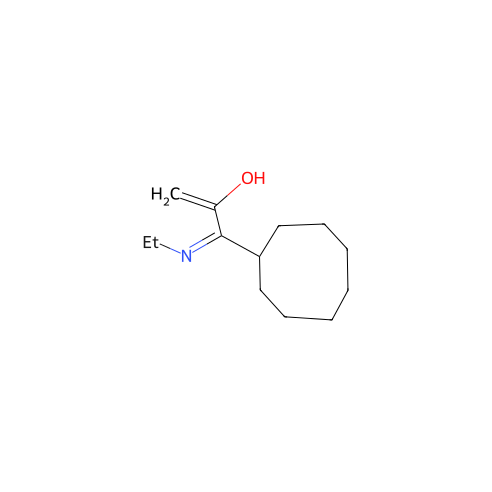 C=C(O)/C(=N\CC)C1CCCCCCC1